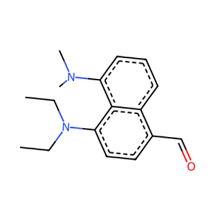 CCN(CC)c1ccc(C=O)c2cccc(N(C)C)c12